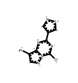 CC(C)c1cnn2c(Cl)nc(-c3cnsc3)nc12